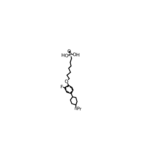 CCCC1CCC(c2ccc(OCCCCCCCP(=O)(O)O)c(F)c2)CC1